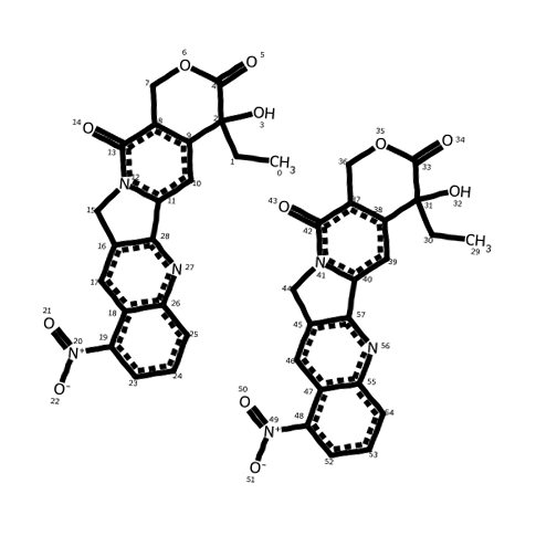 CCC1(O)C(=O)OCc2c1cc1n(c2=O)Cc2cc3c([N+](=O)[O-])cccc3nc2-1.CCC1(O)C(=O)OCc2c1cc1n(c2=O)Cc2cc3c([N+](=O)[O-])cccc3nc2-1